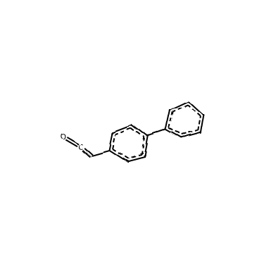 O=C=Cc1ccc(-c2ccccc2)cc1